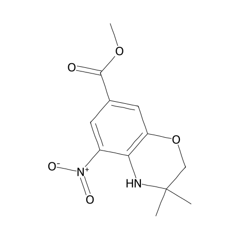 COC(=O)c1cc2c(c([N+](=O)[O-])c1)NC(C)(C)CO2